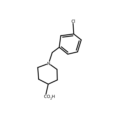 O=C(O)C1CCN(Cc2cccc(Cl)c2)CC1